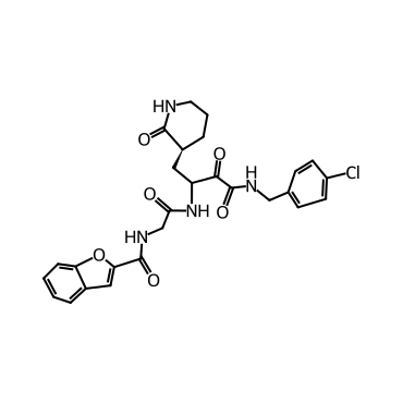 O=C(CNC(=O)c1cc2ccccc2o1)NC(C[C@@H]1CCCNC1=O)C(=O)C(=O)NCc1ccc(Cl)cc1